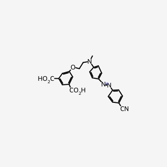 CN(CCOc1cc(C(=O)O)cc(C(=O)O)c1)c1ccc(/N=N/c2ccc(C#N)cc2)cc1